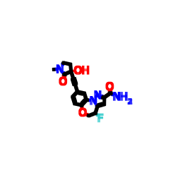 CN1CC[C@@](O)(C#Cc2ccc3c(c2)-n2nc(C(N)=O)cc2[C@@H](F)CO3)C1=O